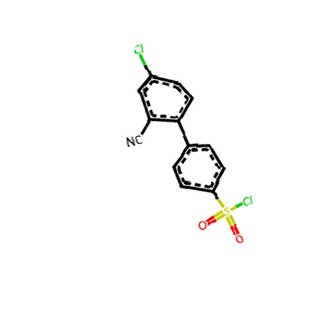 N#Cc1cc(Cl)ccc1-c1ccc(S(=O)(=O)Cl)cc1